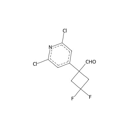 O=CC1(c2cc(Cl)nc(Cl)c2)CC(F)(F)C1